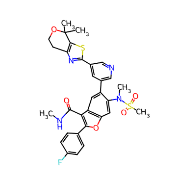 CNC(=O)c1c(-c2ccc(F)cc2)oc2cc(N(C)S(C)(=O)=O)c(-c3cncc(-c4nc5c(s4)C(C)(C)OCC5)c3)cc12